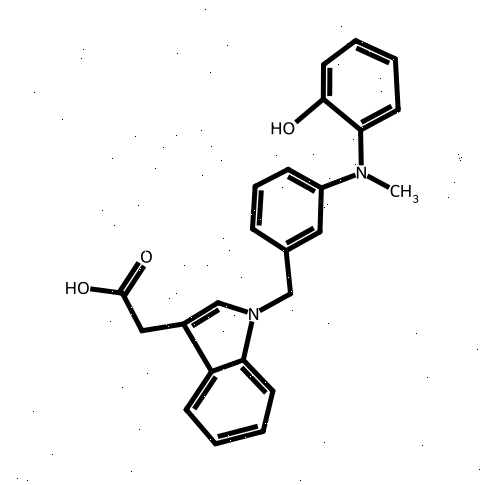 CN(c1cccc(Cn2cc(CC(=O)O)c3ccccc32)c1)c1ccccc1O